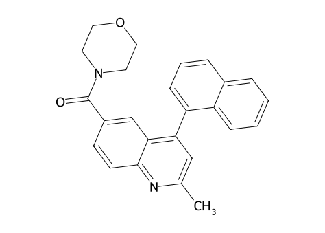 Cc1cc(-c2cccc3ccccc23)c2cc(C(=O)N3CCOCC3)ccc2n1